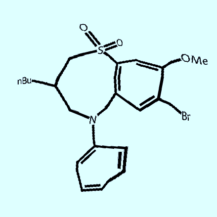 CCCCC1CN(c2ccccc2)c2cc(Br)c(OC)cc2S(=O)(=O)C1